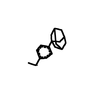 C[CH]c1ccc(C23CC4CC(CC(C4)C2)C3)cc1